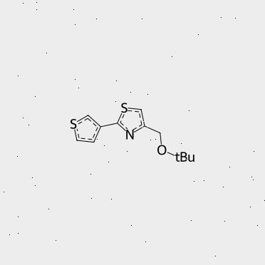 CC(C)(C)OCc1csc(-c2ccsc2)n1